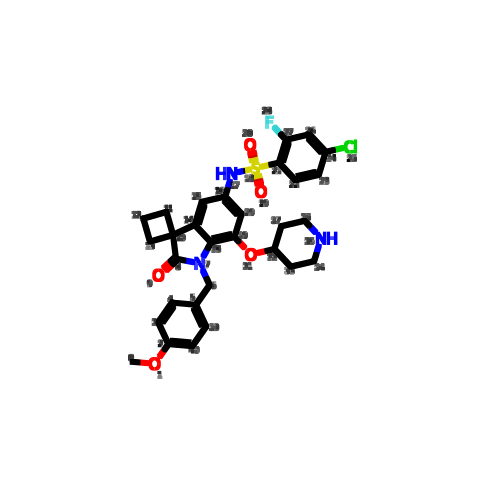 COc1ccc(CN2C(=O)C3(CCC3)c3cc(NS(=O)(=O)c4ccc(Cl)cc4F)cc(OC4CCNCC4)c32)cc1